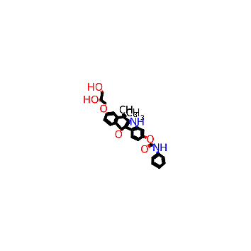 CC1(C)c2cc(OCC(O)CO)ccc2C(=O)c2c1[nH]c1cc(OC(=O)Nc3ccccc3)ccc21